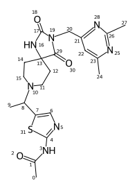 CC(=O)Nc1ncc(C(C)N2CCC3(CC2)NC(=O)N(Cc2cc(C)nc(C)n2)C3=O)s1